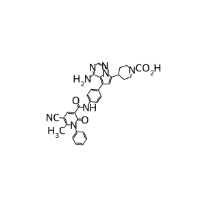 Cc1c(C#N)cc(C(=O)Nc2ccc(-c3cc(C4CCN(C(=O)O)CC4)n4ncnc(N)c34)cc2)c(=O)n1-c1ccccc1